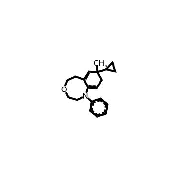 CC1(C2CC2)C=C2CCOCCN(c3ccccc3)C2=CC1